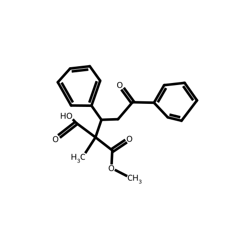 COC(=O)C(C)(C(=O)O)C(CC(=O)c1ccccc1)c1ccccc1